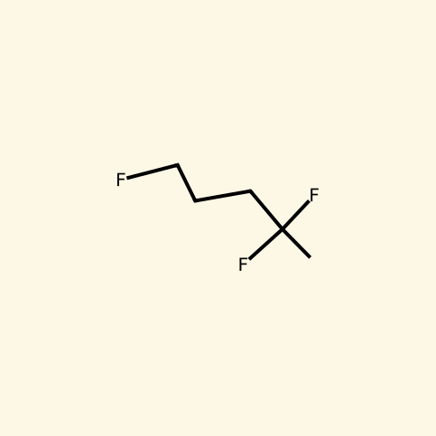 CC(F)(F)CCCF